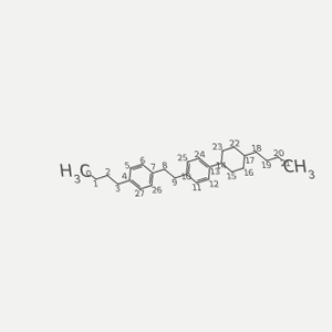 CCCCc1ccc(CCc2ccc(C3CCC(CCCC)CC3)cc2)cc1